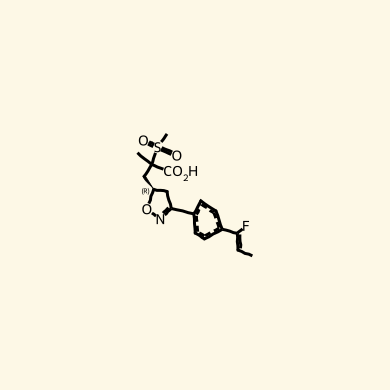 CC=C(F)c1ccc(C2=NO[C@@H](CC(C)(C(=O)O)S(C)(=O)=O)C2)cc1